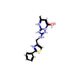 Cc1cc(O)n2nc(NCc3csc(-c4ccccc4)n3)nc2n1